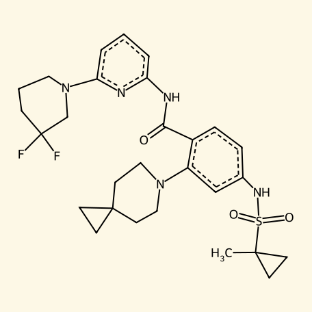 CC1(S(=O)(=O)Nc2ccc(C(=O)Nc3cccc(N4CCCC(F)(F)C4)n3)c(N3CCC4(CC3)CC4)c2)CC1